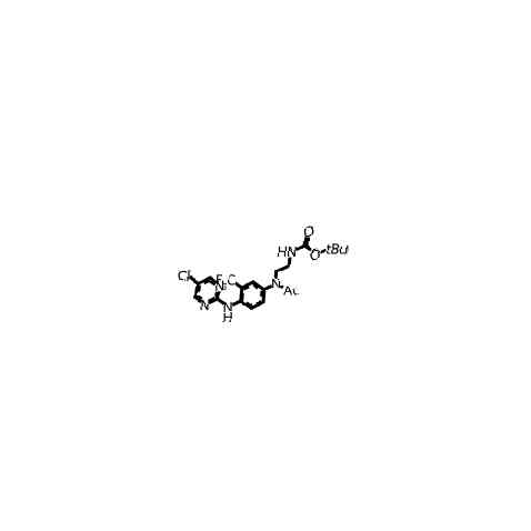 CC(=O)N(CCNC(=O)OC(C)(C)C)c1ccc(Nc2ncc(Cl)cn2)c(C(F)(F)F)c1